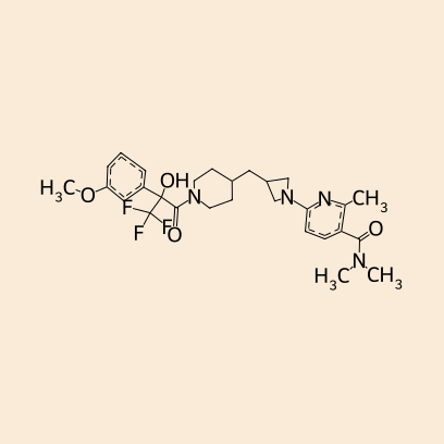 COc1cccc(C(O)(C(=O)N2CCC(CC3CN(c4ccc(C(=O)N(C)C)c(C)n4)C3)CC2)C(F)(F)F)c1